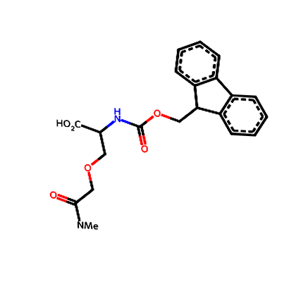 CNC(=O)COCC(NC(=O)OCC1c2ccccc2-c2ccccc21)C(=O)O